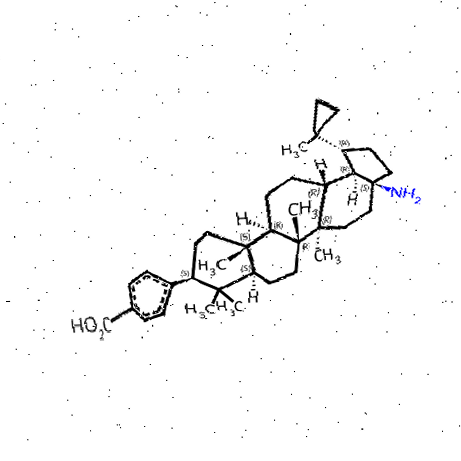 CC1([C@@H]2CC[C@]3(N)CC[C@]4(C)[C@H](CC[C@@H]5[C@@]6(C)CC[C@H](c7ccc(C(=O)O)cc7)C(C)(C)[C@@H]6CC[C@]54C)[C@@H]23)CC1